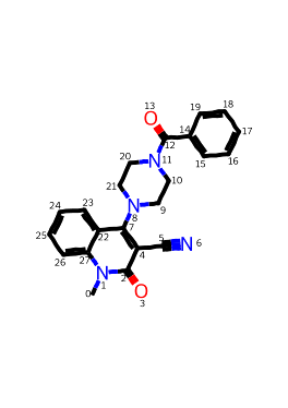 Cn1c(=O)c(C#N)c(N2CCN(C(=O)c3ccccc3)CC2)c2ccccc21